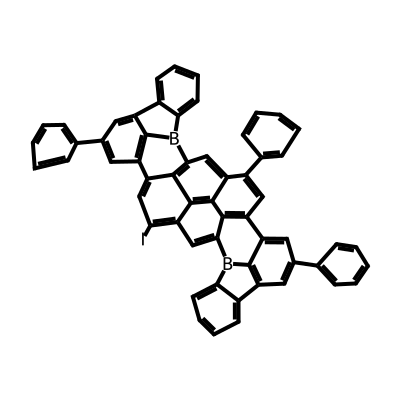 Ic1cc2c3c(cc4c(-c5ccccc5)cc5c6c(cc1c3c46)B1c3ccccc3-c3cc(-c4ccccc4)cc-5c31)B1c3ccccc3-c3cc(-c4ccccc4)cc-2c31